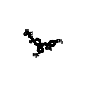 C/C(=C\n1c2c(c3cc(C)ccc31)CN(C(=O)OCC(Cl)(Cl)Cl)CC2)C1=CCN(C)C=C1